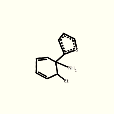 CCC1C=CC=CC1(N)c1cccs1